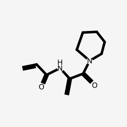 C=CC(=O)NC(=C)C(=O)N1CCCCC1